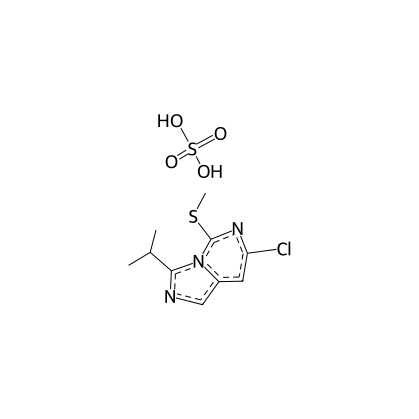 CSc1nc(Cl)cc2cnc(C(C)C)n12.O=S(=O)(O)O